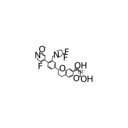 COc1cc(-c2ccc(C3CCc4ccc([C@H](O)[C@H](C)C(=O)O)cc4O3)cc2CN2CCC(F)(F)C2)c(F)cn1